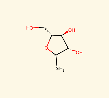 OC[C@H]1O[C]([SiH3])[C@@H](O)[C@@H]1O